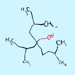 CC(C)CC(O)(CC(C)C)C(C)C